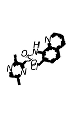 Cc1cnc(C)c(S(=O)(=O)Nc2c(Cl)ccc3cccnc23)n1